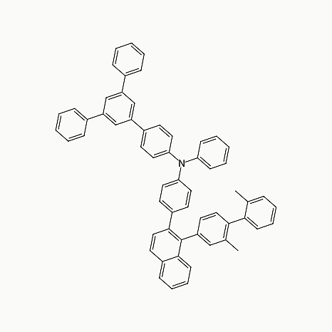 Cc1ccccc1-c1ccc(-c2c(-c3ccc(N(c4ccccc4)c4ccc(-c5cc(-c6ccccc6)cc(-c6ccccc6)c5)cc4)cc3)ccc3ccccc23)cc1C